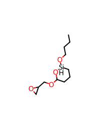 CCCCO[SiH]1CCCC(OCC2CO2)O1